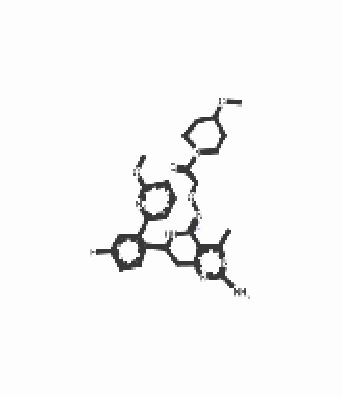 COc1cccc(-c2cc(F)ccc2C2Cc3nc(N)nc(C)c3/C(=N/OCC(=O)N3CCC(OC)CC3)N2)n1